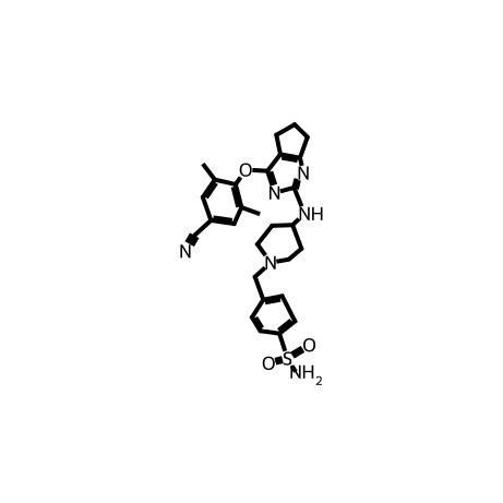 Cc1cc(C#N)cc(C)c1Oc1nc(NC2CCN(Cc3ccc(S(N)(=O)=O)cc3)CC2)nc2c1CCC2